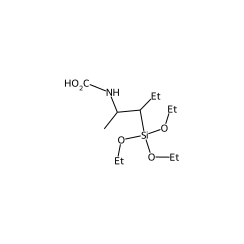 CCO[Si](OCC)(OCC)C(CC)C(C)NC(=O)O